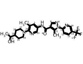 Cc1cc(NC(=O)c2cnn(-c3ccc(C(F)(F)F)cn3)c2C)cnc1N1CCC(C(C)O)CC1